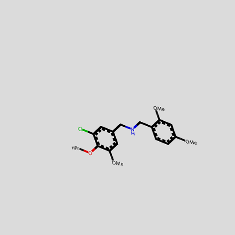 CCCOc1c(Cl)cc(CNCc2ccc(OC)cc2OC)cc1OC